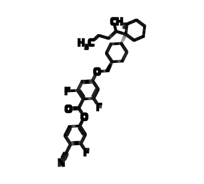 CCCC(C)C1([C@H]2CC[C@H](COc3cc(F)c(C(=O)Oc4ccc(C#N)c(F)c4)c(F)c3)CC2)CCCCC1